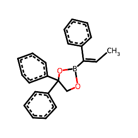 CC=C(B1OCC(c2ccccc2)(c2ccccc2)O1)c1ccccc1